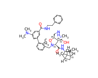 Cc1c(CN2O[C@@H](CN)[C@@H]([C@H](C)O)[C@H]2C(=O)NC2C[C@H]3C[C@@H]([C@@H]2C)C3(C)C)cccc1-c1cc(C(=O)NCCc2ccccc2)cc(N(C)C)c1